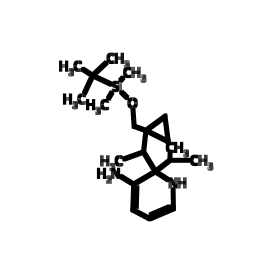 CC(C)C1(C(C)C2(CO[Si](C)(C)C(C)(C)C)CC2)NC=CC=C1N